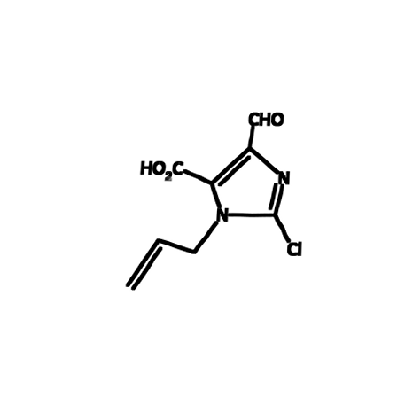 C=CCn1c(Cl)nc(C=O)c1C(=O)O